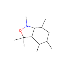 CC1CC(C)C2C(C1C)C(C)(C)ON2C